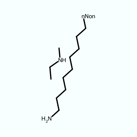 CCCCCCCCCCCCCCCCCCN.CCNC